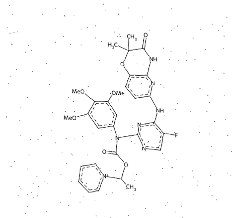 COc1cc(N(C(=O)OC(C)[n+]2ccccc2)c2ncc(F)c(Nc3ccc4c(n3)NC(=O)C(C)(C)O4)n2)cc(OC)c1OC